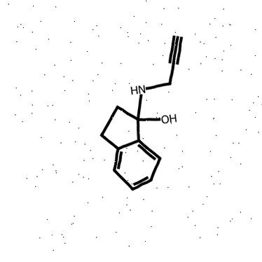 C#CCNC1(O)CCc2ccccc21